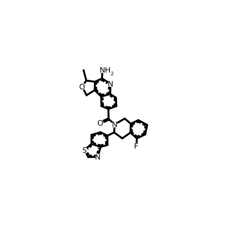 CC1OCc2c1c(N)nc1ccc(C(=O)N3Cc4cccc(F)c4CC3c3ccc4scnc4c3)cc21